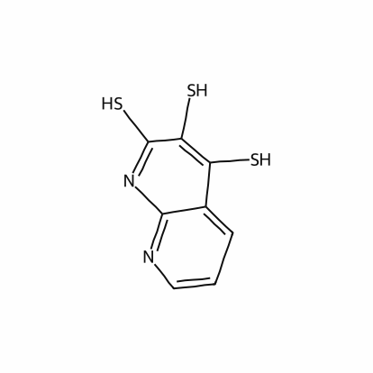 Sc1nc2ncccc2c(S)c1S